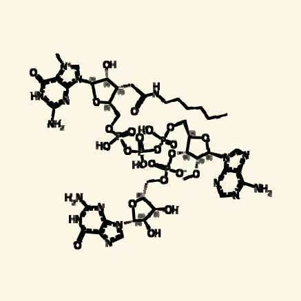 CCCCCCNC(=O)C[C@H]1[C@@H](O)[C@H](n2c[n+](C)c3c(=O)[nH]c(N)nc32)O[C@@H]1COP(=O)(O)OP(=O)(O)OP(=O)(O)OC[C@H]1O[C@@H](n2cnc3c(N)ncnc32)[C@H](OC)[C@@H]1OP(=O)([O-])OC[C@H]1O[C@@H](n2cnc3c(=O)[nH]c(N)nc32)[C@H](O)[C@@H]1O